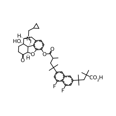 CC(CC(C)(C)c1cc(F)c2c(F)cc(C(C)(C)CC(C)(C)C(=O)O)cc2c1)C(=O)Oc1ccc2c3c1O[C@H]1C(=O)CC[C@@]4(O)[C@@H](C2)N(CC2CC2)CC[C@]314